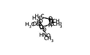 COCOc1ccc(OCCNC(C)=O)c2c1C(=O)O[C@@H](C)[C@H](C)/C=C\C(=O)[C@H]1OC(C)(C)O[C@H]1C/C=C/2